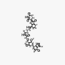 COc1cc(-c2cn(C)c(=O)c3c2cnn3C)cc(OC)c1COCC(=O)NC(C)CCCNc1cccc2c1CN(C1CCC(=O)NC1=O)C2=O